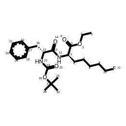 CCOC(=O)[C@@H](CCCCCF)NC(=O)[C@@H](Cc1ccccc1)NC(=O)OC(C)(C)C